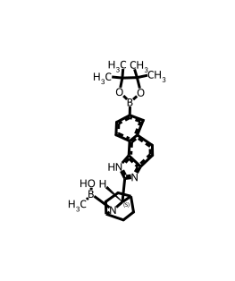 CB(O)N1C2CCC(CC2)[C@H]1c1nc2ccc3cc(B4OC(C)(C)C(C)(C)O4)ccc3c2[nH]1